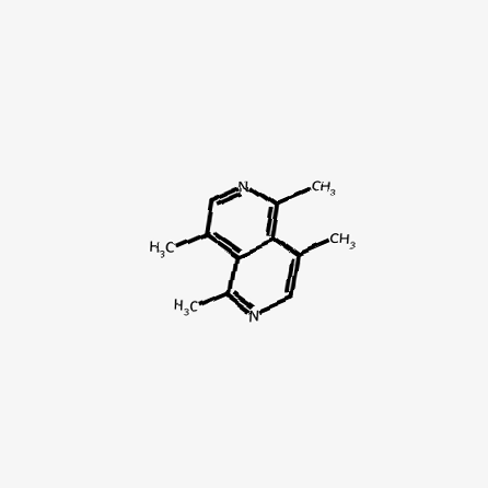 Cc1cnc(C)c2c(C)cnc(C)c12